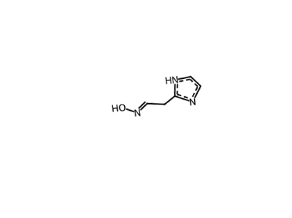 ON=CCc1ncc[nH]1